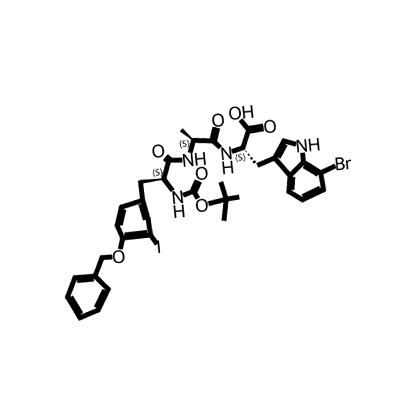 C[C@H](NC(=O)[C@H](Cc1ccc(OCc2ccccc2)c(I)c1)NC(=O)OC(C)(C)C)C(=O)N[C@@H](Cc1c[nH]c2c(Br)cccc12)C(=O)O